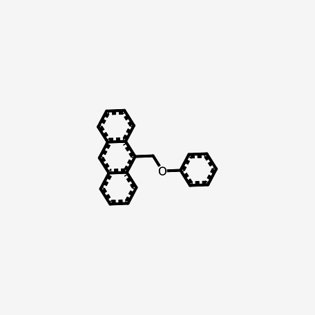 c1ccc(OCc2c3ccccc3cc3ccccc23)cc1